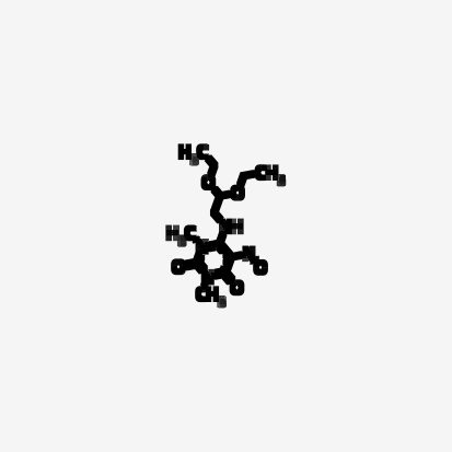 CCOC(CNc1c(N=O)c(=O)n(C)c(=O)n1C)OCC